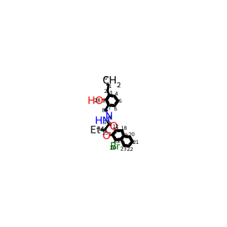 C=CCc1cccc(C=NNC(=O)C(CC)Oc2ccc3ccccc3c2Br)c1O